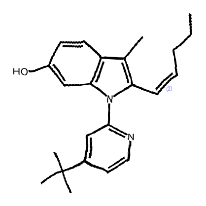 CCC/C=C\c1c(C)c2ccc(O)cc2n1-c1cc(C(C)(C)C)ccn1